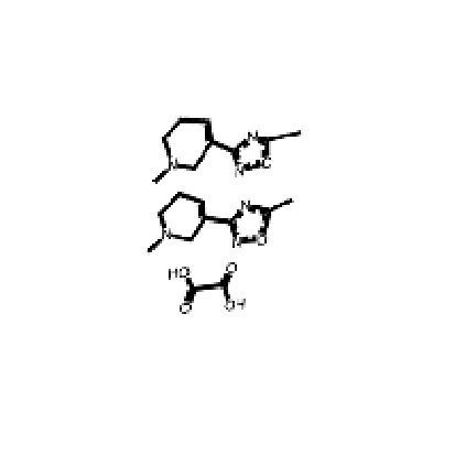 Cc1nc(C2=CCCN(C)C2)no1.Cc1nc(C2=CCCN(C)C2)no1.O=C(O)C(=O)O